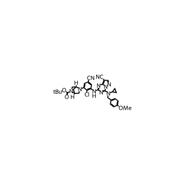 COc1ccc(CN(c2nc(Nc3cc(C#N)cc(N4C[C@H]5C[C@@H]4CN5C(=O)OC(C)(C)C)c3Cl)nc3c(C#N)cnn23)C2CC2)cc1